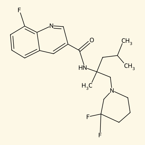 CC(C)CC(C)(CN1CCCC(F)(F)C1)NC(=O)c1cnc2c(F)cccc2c1